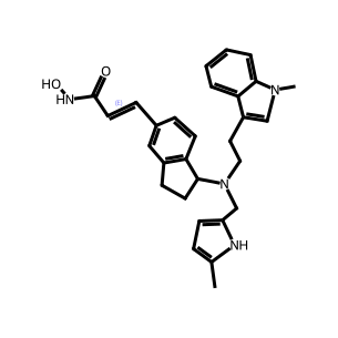 Cc1ccc(CN(CCc2cn(C)c3ccccc23)C2CCc3cc(/C=C/C(=O)NO)ccc32)[nH]1